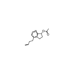 C=CCCc1ccnc2c1CCC2OC(C)=O